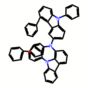 c1ccc(-c2ccc(N(c3ccc4c(c3)c3c(-c5ccccc5)cccc3n4-c3ccccc3)c3cccc4c5ccccc5n(-c5ccccc5)c34)cc2)cc1